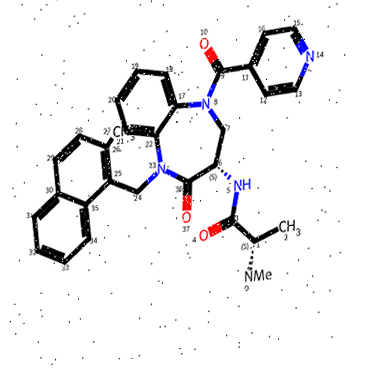 CN[C@@H](C)C(=O)N[C@H]1CN(C(=O)c2ccncc2)c2ccccc2N(Cc2c(C)ccc3ccccc23)C1=O